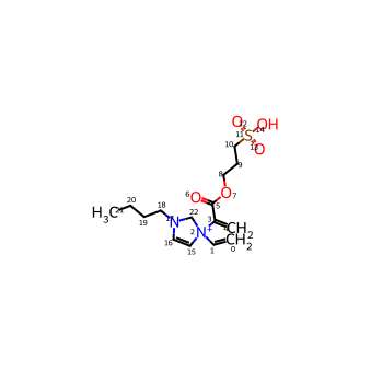 C=C[N+]1(C(=C)C(=O)OCCCS(=O)(=O)O)C=CN(CCCC)C1